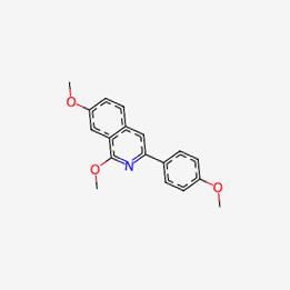 COc1ccc(-c2cc3ccc(OC)cc3c(OC)n2)cc1